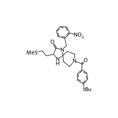 CSCCC1NC2(CCN(C(=O)c3ccc(C(C)(C)C)cc3)CC2)N(Cc2ccccc2[N+](=O)[O-])C1=O